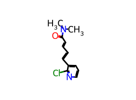 CN(C)C(=O)C=CC=Cc1cccnc1Cl